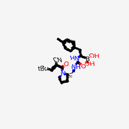 Cc1ccc(CC(NC(=O)NC[C@@H]2CCCN2C(=O)C(C#N)=CC(C)(C)C)B(O)O)cc1